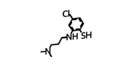 CN(C)CCCNc1cc(Cl)ccc1S